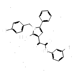 Cc1c(C(=O)C(=O)Nc2cccc(Cl)c2)cc(-c2ccccc2)n1Cc1ccc(Cl)cc1